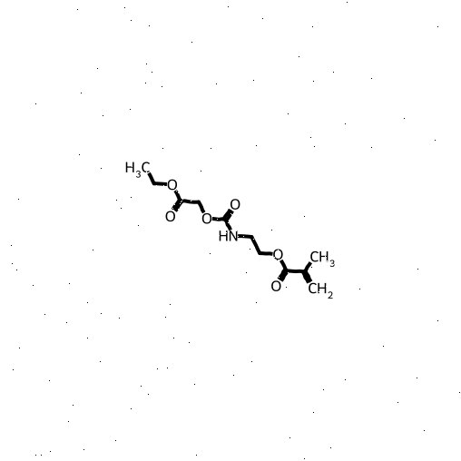 C=C(C)C(=O)OCCNC(=O)OCC(=O)OCC